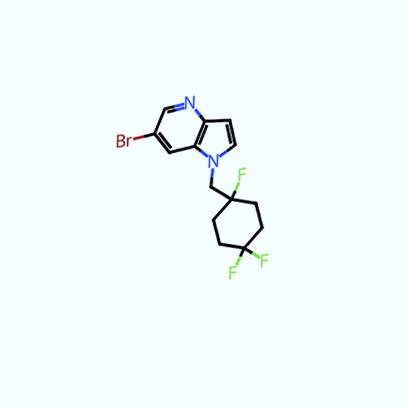 FC1(F)CCC(F)(Cn2ccc3ncc(Br)cc32)CC1